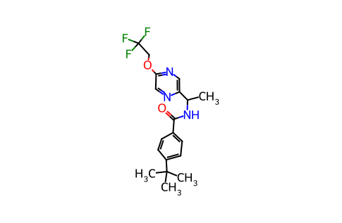 CC(NC(=O)c1ccc(C(C)(C)C)cc1)c1cnc(OCC(F)(F)F)cn1